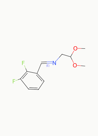 COC(C/N=C/c1cccc(F)c1F)OC